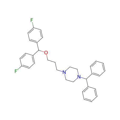 Fc1ccc(C(OCCCN2CCN(C(c3ccccc3)c3ccccc3)CC2)c2ccc(F)cc2)cc1